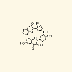 O=C1Cc2ccccc2OC1c1ccccc1O.O=c1c(O)c(-c2ccc(O)c(O)c2)oc2ccc(O)cc12